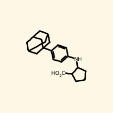 O=C(O)C1CCCC1Nc1ccc(C23CC4CC(CC(C4)C2)C3)cc1